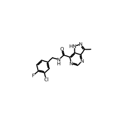 Cc1n[nH]c2c(C(=O)NCc3ccc(F)c(Cl)c3)ncnc12